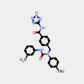 CCCCc1ccc(N(Cc2ccc(C(=O)Nc3nn[nH]n3)cc2)C(=O)Nc2cccc([N+](=O)[O-])c2)cc1